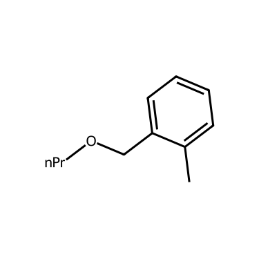 CCCOCc1ccccc1C